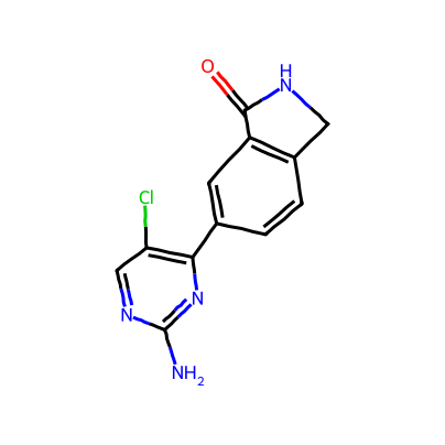 Nc1ncc(Cl)c(-c2ccc3c(c2)C(=O)NC3)n1